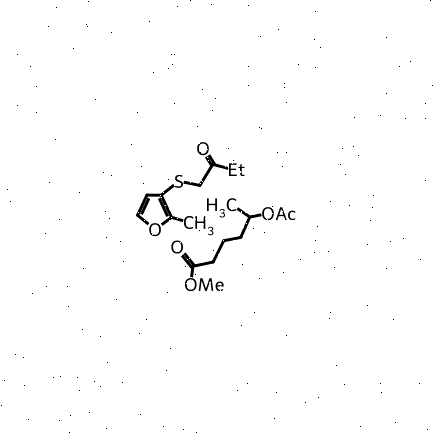 CCC(=O)CSc1ccoc1C.COC(=O)CCCC(C)OC(C)=O